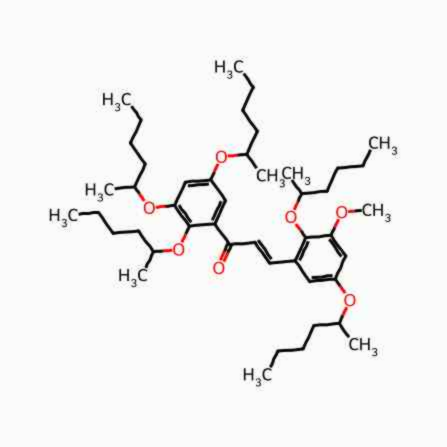 CCCCC(C)Oc1cc(C=CC(=O)c2cc(OC(C)CCCC)cc(OC(C)CCCC)c2OC(C)CCCC)c(OC(C)CCCC)c(OC)c1